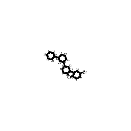 Brc1ccc2oc3ccc(-c4cccc(-c5ccccc5)c4)cc3c2c1